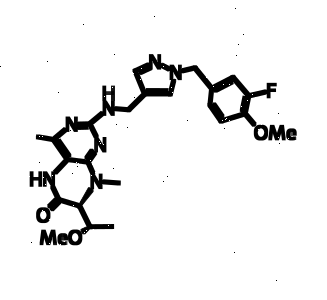 COc1ccc(Cn2cc(CNc3nc(C)c4c(n3)N(C)[C@@H]([C@@H](C)OC)C(=O)N4)cn2)cc1F